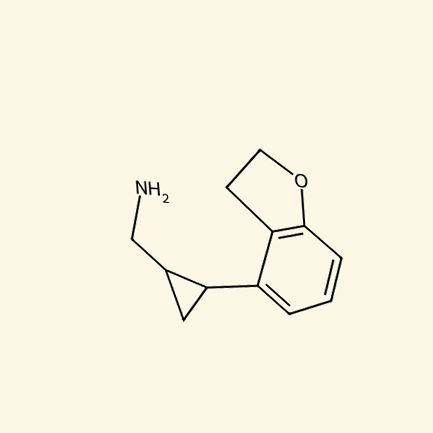 NCC1CC1c1cccc2c1CCO2